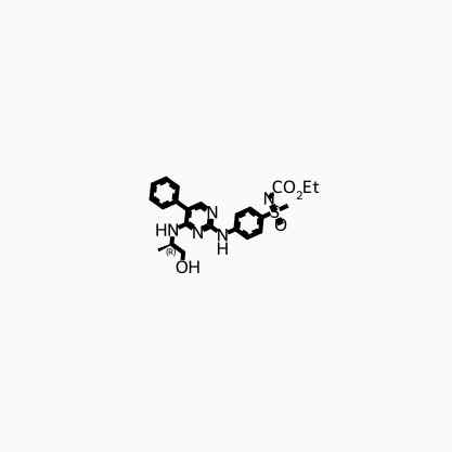 CCOC(=O)N=S(C)(=O)c1ccc(Nc2ncc(-c3ccccc3)c(N[C@H](C)CO)n2)cc1